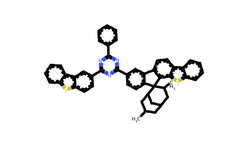 CC1CC2CC(C)C3(c4ccc(-c5nc(-c6ccccc6)nc(-c6ccc7sc8ccccc8c7c6)n5)cc4-c4ccc5c(sc6ccccc65)c43)C(C1)C2